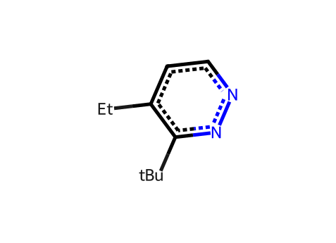 CCc1ccnnc1C(C)(C)C